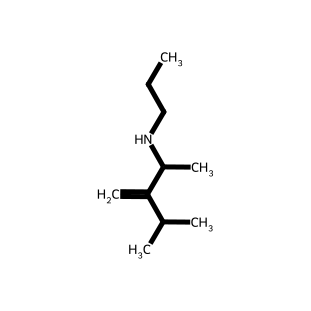 C=C(C(C)C)C(C)NCCC